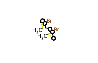 CCSc1c(Cc2ccc3c(Br)cc(-c4ccccc4)c(SCC)c3c2)cc(Br)c2ccccc12